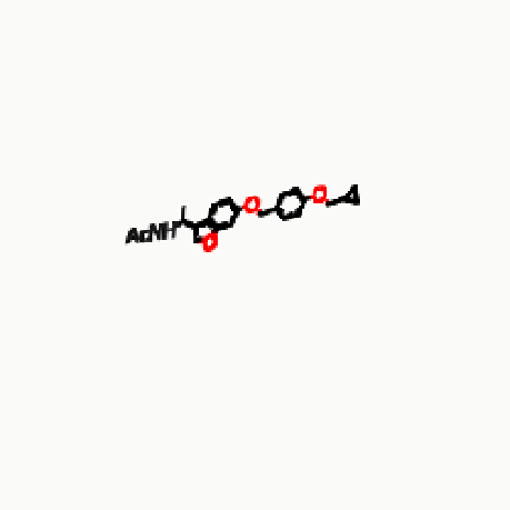 CC(=O)NC(C)c1coc2cc(OCc3ccc(OCC4CC4)cc3)ccc12